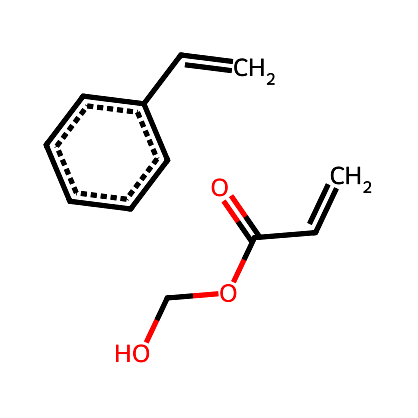 C=CC(=O)OCO.C=Cc1ccccc1